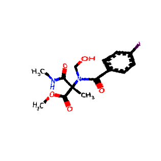 CNC(=O)C(C)(C(=O)OC)N(CO)C(=O)c1ccc(I)cc1